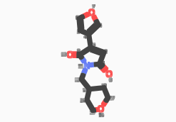 O=C1C=C(c2ccoc2)C(=O)N1CC1CCOCC1